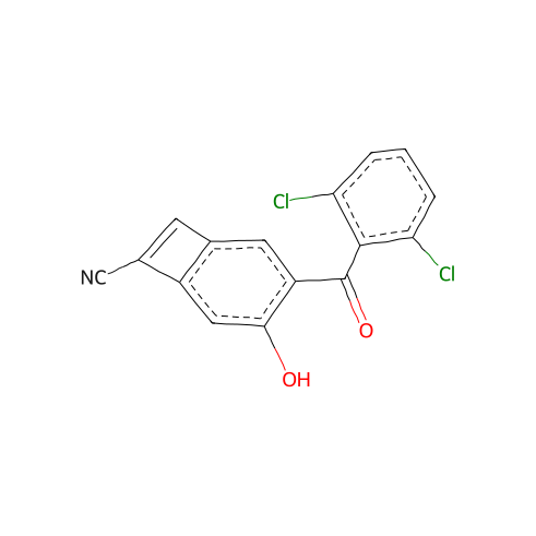 N#CC1=Cc2cc(C(=O)c3c(Cl)cccc3Cl)c(O)cc21